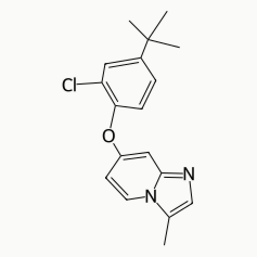 Cc1cnc2cc(Oc3ccc(C(C)(C)C)cc3Cl)ccn12